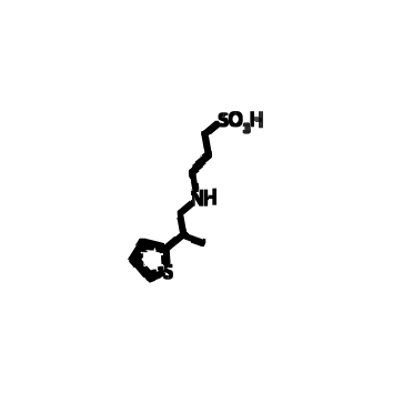 CC(CNCCCS(=O)(=O)O)c1cccs1